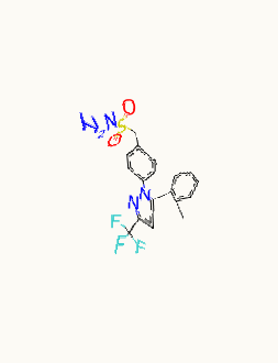 Cc1ccccc1-c1cc(C(F)(F)F)nn1-c1ccc(CS(N)(=O)=O)cc1